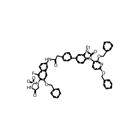 CCn1c(=O)n(-c2ccc(OCc3ccccc3)nc2OCc2ccccc2)c2ccc(-c3ccc(CC(=O)Nc4ccc5c(F)c(N6CC(=O)NS6(=O)=O)c(OCc6ccccc6)cc5c4)cc3)cc21